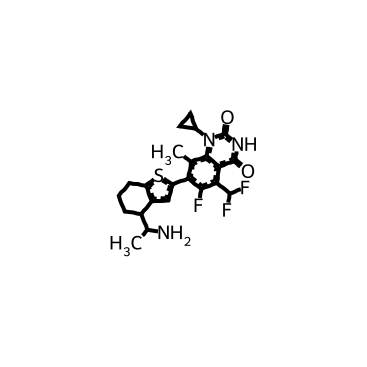 Cc1c(-c2cc3c(s2)CCCC3C(C)N)c(F)c(C(F)F)c2c(=O)[nH]c(=O)n(C3CC3)c12